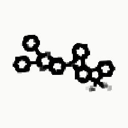 CC1(C)c2ccccc2-c2c1ccc1c2c2ccccc2n1-c1ccc2nc(-c3ccccc3)c(-c3ccccc3)nc2c1